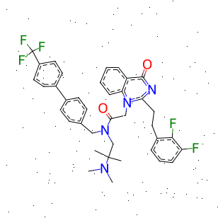 CN(C)C(C)(C)CN(Cc1ccc(-c2ccc(C(F)(F)F)cc2)cc1)C(=O)Cn1c(CCc2cccc(F)c2F)nc(=O)c2ccccc21